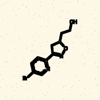 OCCC1CC(c2ccc(Br)cn2)=NO1